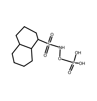 O=P(O)(O)ONS(=O)(=O)C1CCCC2CCCCC21